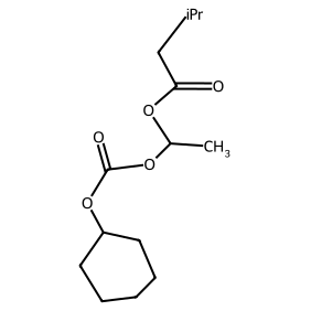 CC(C)CC(=O)OC(C)OC(=O)OC1CCCCC1